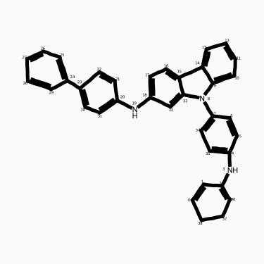 C1=CC(Nc2ccc(-n3c4ccccc4c4ccc(Nc5ccc(-c6ccccc6)cc5)cc43)cc2)=CCC1